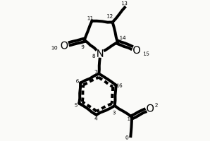 CC(=O)c1cccc(N2C(=O)CC(C)C2=O)c1